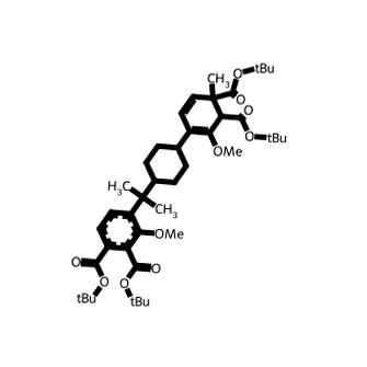 COC1=C(C2CCC(C(C)(C)c3ccc(C(=O)OC(C)(C)C)c(C(=O)OC(C)(C)C)c3OC)CC2)C=CC(C)(C(=O)OC(C)(C)C)C1C(=O)OC(C)(C)C